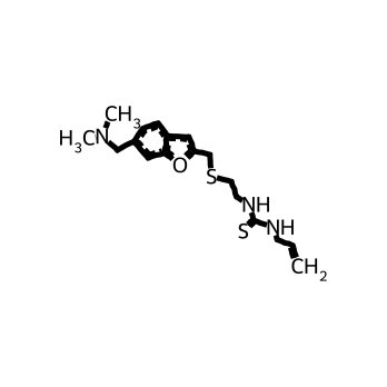 C=CCNC(=S)NCCSCc1cc2ccc(CN(C)C)cc2o1